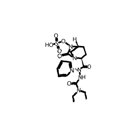 CCN(CC)C(=O)NN(C(=O)[C@@H]1CC[C@@H]2CN1C(=O)N2OS(=O)(=O)O)[n+]1ccccc1